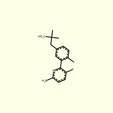 CC(C)(Cc1ccc(F)c(-c2nc(N)ccc2F)c1)C(=O)O